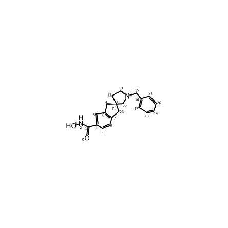 O=C(NO)c1ccc2c(c1)C[C@]1(CCN(Cc3ccccc3)C1)C2